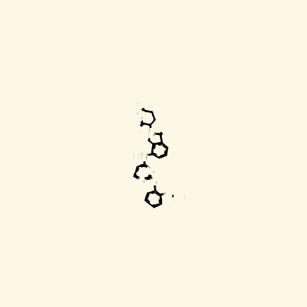 C=C1CCC(N2Cc3c(Nc4ccnc(Nc5ccccc5OC)n4)cccc3C2=O)C(=O)N1